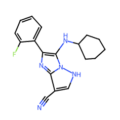 N#Cc1c[nH]n2c(NC3CCCCC3)c(-c3ccccc3F)nc12